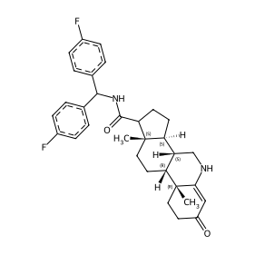 C[C@]12CCC(=O)C=C1NC[C@@H]1[C@H]2CC[C@]2(C)C(C(=O)NC(c3ccc(F)cc3)c3ccc(F)cc3)CC[C@@H]12